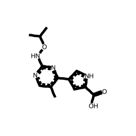 Cc1cnc(NOC(C)C)nc1-c1c[nH]c(C(=O)O)c1